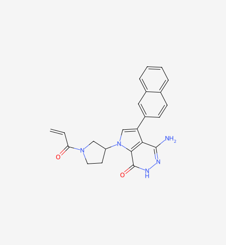 C=CC(=O)N1CCC(n2cc(-c3ccc4ccccc4c3)c3c(N)n[nH]c(=O)c32)C1